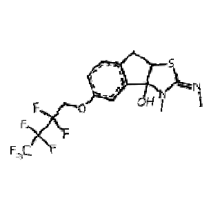 CN=C1SC2Cc3ccc(OCC(F)(F)C(F)(F)C(F)(F)F)cc3C2(O)N1C